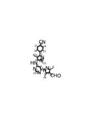 Cc1nn(-c2cc(Nc3c(C)c(-c4ccc(C#N)cc4)nn3C)ncn2)c(C)c1C=O